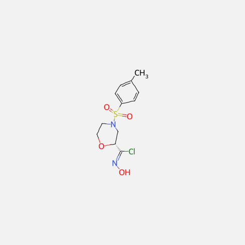 Cc1ccc(S(=O)(=O)N2CCO[C@@H](C(Cl)=NO)C2)cc1